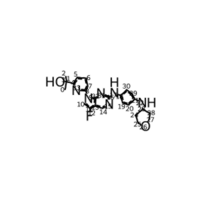 CC(C)(O)c1cccc(-n2cc(F)c3cnc(Nc4ccc(NC5CCOCC5)cc4)nc32)n1